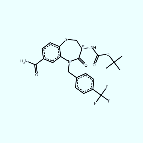 CC(C)(C)OC(=O)N[C@H]1CSc2ccc(C(N)=O)cc2N(Cc2ccc(C(F)(F)F)cc2)C1=O